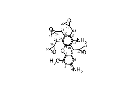 Cc1cc(N)ccc1Oc1c(CC2CO2)c(N)c(CC2CO2)c(CC2CO2)c1CC1CO1